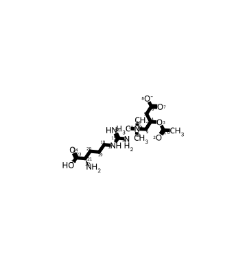 CC(=O)OC(CC(=O)[O-])C[N+](C)(C)C.N=C(N)NCCC[C@H](N)C(=O)O